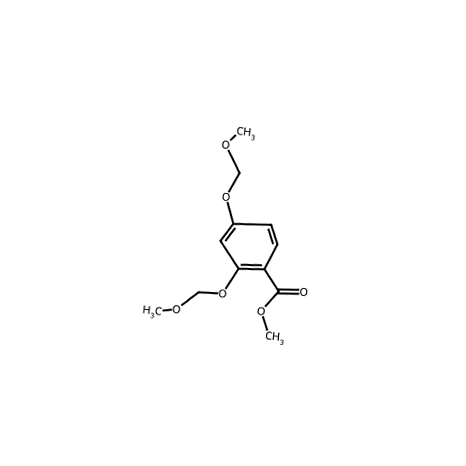 COCOc1ccc(C(=O)OC)c(OCOC)c1